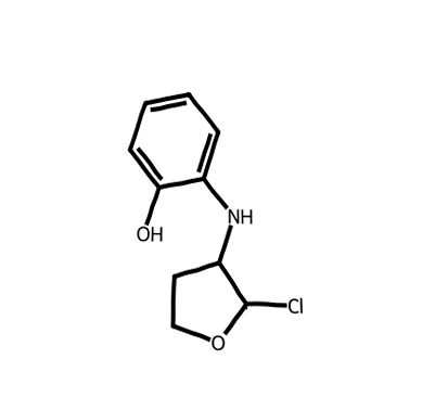 Oc1ccccc1NC1CCO[C]1Cl